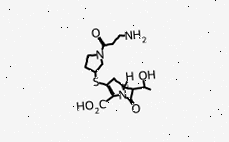 CC(O)C1C(=O)N2C(C(=O)O)=C(SC3CCN(C(=O)CCN)C3)C[C@H]12